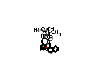 C[C@@H](C(=O)N[C@H]1CCc2ccccc2N(Cc2c(O)ccc3ccccc23)C1=O)N(C)C(=O)OC(C)(C)C